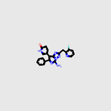 Nc1nc(-c2ccccc2)c(-c2ccc(=O)[nH]c2)c2nc(Cc3ncccc3F)nn12